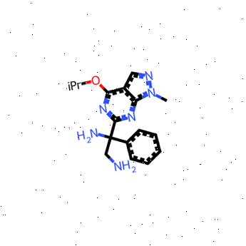 CC(C)Oc1nc(C(N)(CN)c2ccccc2)nc2c1cnn2C